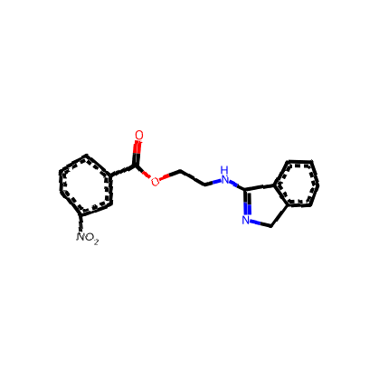 O=C(OCCNC1=NCc2ccccc21)c1cccc([N+](=O)[O-])c1